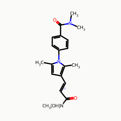 Cc1cc(/C=C/C(=O)N(C)O)c(C)n1-c1ccc(C(=O)N(C)C)cc1